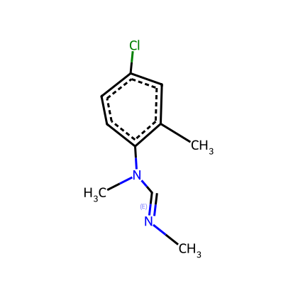 C/N=C/N(C)c1ccc(Cl)cc1C